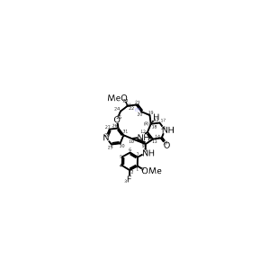 COc1c(F)cccc1Nc1c2[nH]c3c1C(=O)NC[C@H]3C/C=C/[C@H](OC)COc1cnccc1-2